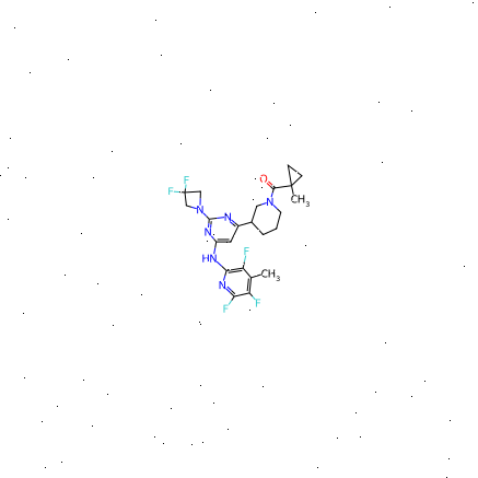 Cc1c(F)c(F)nc(Nc2cc(C3CCCN(C(=O)C4(C)CC4)C3)nc(N3CC(F)(F)C3)n2)c1F